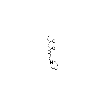 CCC(=O)CC(=O)OCCN1CCOCC1